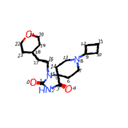 O=C1NC(=O)C2(CCN(C3CCC3)CC2)N1CCC1CCOCC1